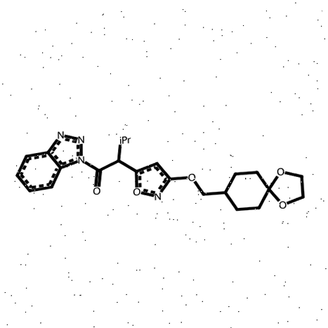 CC(C)C(C(=O)n1nnc2ccccc21)c1cc(OCC2CCC3(CC2)OCCO3)no1